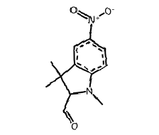 CN1c2ccc([N+](=O)[O-])cc2C(C)(C)C1C=O